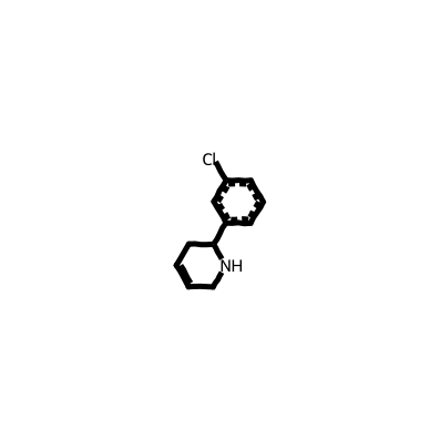 Clc1cccc(C2CC=CCN2)c1